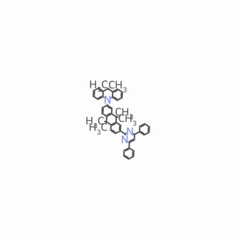 CC1(C)c2ccccc2N(c2ccc3c(c2)C(C)(C)c2cc(-c4nc(-c5ccccc5)cc(-c5ccccc5)n4)ccc2C3(C)C)c2ccccc21